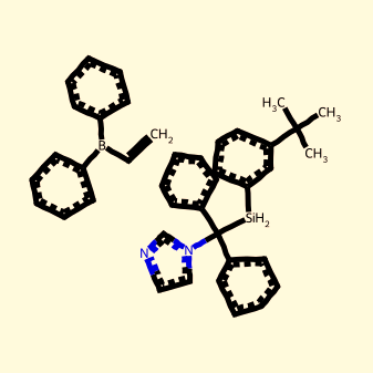 C=CB(c1ccccc1)c1ccccc1.CC(C)(C)c1cccc([SiH2]C(c2ccccc2)(c2ccccc2)n2ccnc2)c1